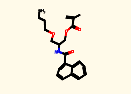 C=C(C)C(=O)OCC(COCCC[SiH3])NC(=O)c1cccc2ccccc12